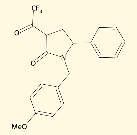 COc1ccc(CN2C(=O)C(C(=O)C(F)(F)F)CC2c2ccccc2)cc1